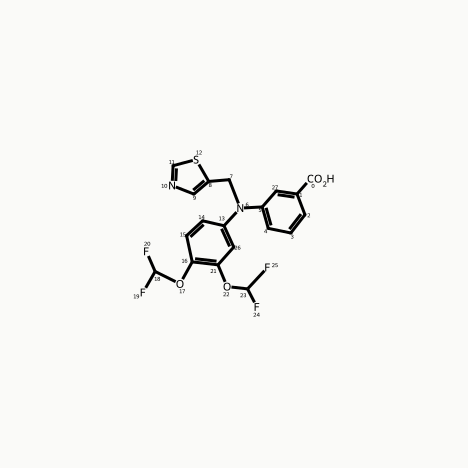 O=C(O)c1cccc(N(Cc2cncs2)c2ccc(OC(F)F)c(OC(F)F)c2)c1